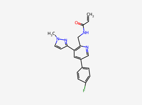 C=CC(=O)NCc1ncc(-c2ccc(F)cc2)cc1-c1ccn(C)n1